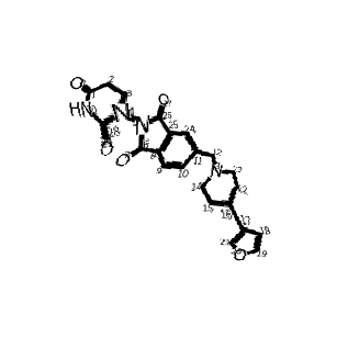 O=C1CCN(N2C(=O)c3ccc(CN4CCC(c5ccoc5)CC4)cc3C2=O)C(=O)N1